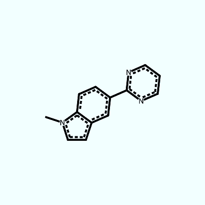 Cn1ccc2cc(-c3ncccn3)ccc21